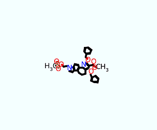 COC(=O)c1c(OCc2ccccc2)nc2c(c1OCc1ccccc1)CCCc1c-2ccc2c1ccn2CCOS(C)(=O)=O